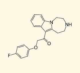 O=C(COc1ccc(F)cc1)c1c2n(c3ccccc13)CCNCC2